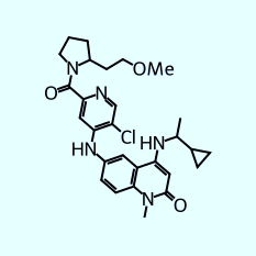 COCCC1CCCN1C(=O)c1cc(Nc2ccc3c(c2)c(NC(C)C2CC2)cc(=O)n3C)c(Cl)cn1